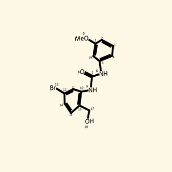 COc1cccc(NC(=O)Nc2cc(Br)ccc2CO)c1